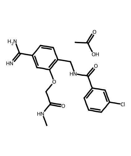 CC(=O)O.CNC(=O)COc1cc(C(=N)N)ccc1CNC(=O)c1cccc(Cl)c1